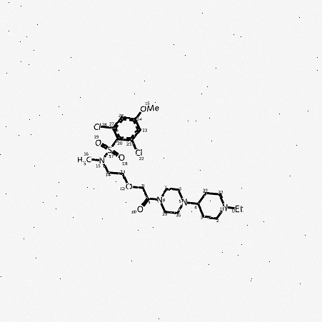 CCN1CCC(N2CCN(C(=O)COCCN(C)S(=O)(=O)c3c(Cl)cc(OC)cc3Cl)CC2)CC1